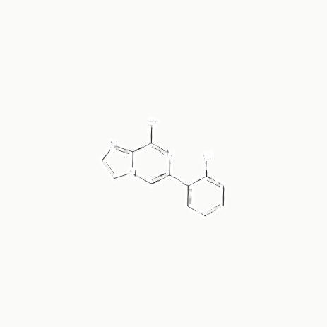 Clc1ccccc1-c1cn2ccnc2c(Br)n1